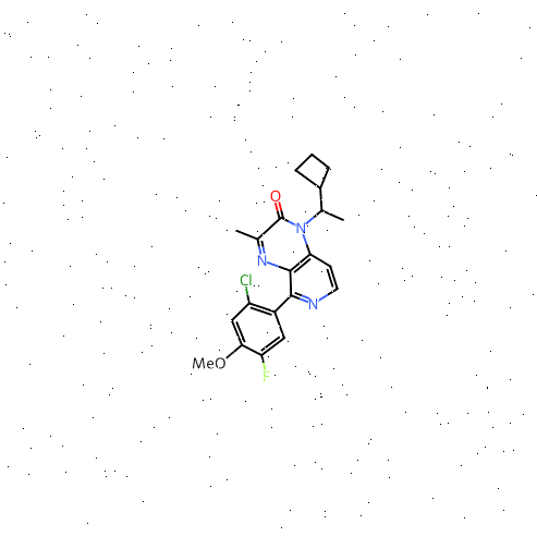 COc1cc(Cl)c(-c2nccc3c2nc(C)c(=O)n3C(C)C2CCC2)cc1F